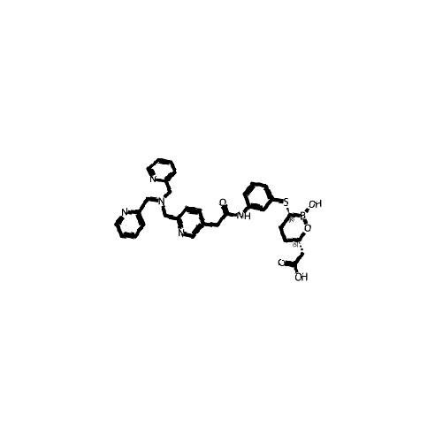 O=C(O)C[C@@H]1CC[C@H](Sc2cccc(NC(=O)Cc3ccc(CN(Cc4ccccn4)Cc4ccccn4)nc3)c2)B(O)O1